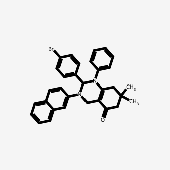 CC1(C)CC(=O)C2=C(C1)N(c1ccccc1)C(c1ccc(Br)cc1)N(c1ccc3ccccc3c1)C2